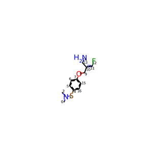 CN(C)Sc1ccc(OC/C(=C/F)CN)cc1